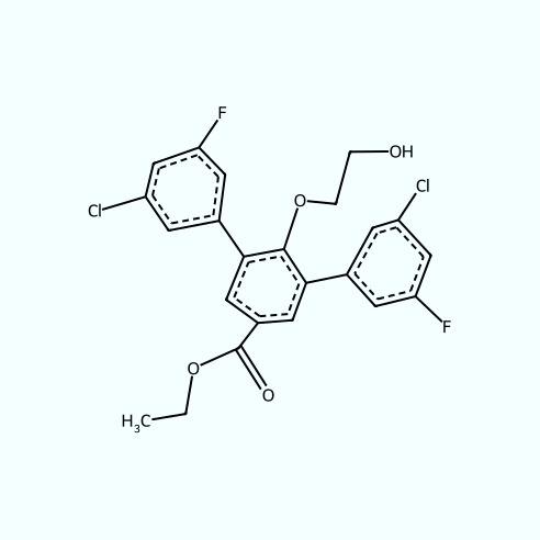 CCOC(=O)c1cc(-c2cc(F)cc(Cl)c2)c(OCCO)c(-c2cc(F)cc(Cl)c2)c1